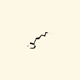 CCCCCCCCCCCCCCc1ccc[n+](C(C)C)c1